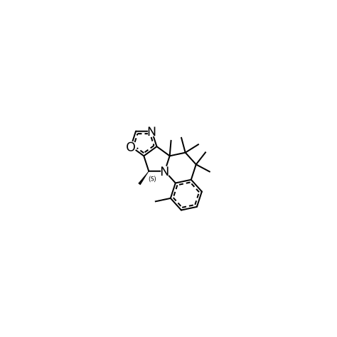 Cc1cccc2c1N1[C@@H](C)c3ocnc3C1(C)C(C)(C)C2(C)C